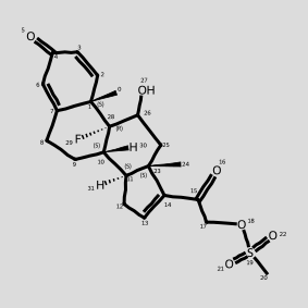 C[C@]12C=CC(=O)C=C1CC[C@H]1[C@@H]3CC=C(C(=O)COS(C)(=O)=O)[C@@]3(C)CC(O)[C@@]12F